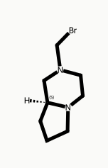 BrCN1CCN2CCC[C@H]2C1